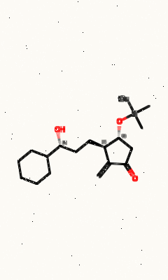 C=C1C(=O)C[C@@H](O[Si](C)(C)C(C)(C)C)[C@@H]1CC[C@@H](O)C1CCCCC1